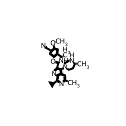 COc1cc([C@H](C)NC(=O)c2cnc3c(C4CC4)nc(C)cc3c2N2CCN[C@@H](C)CC2)ccc1C#N